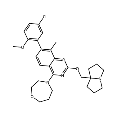 COc1ccc(Cl)cc1-c1ccc2c(N3CCCOCC3)nc(OCC34CCCN3CCC4)nc2c1C